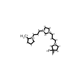 CC1CCCN1CCCN1CCN(CCCN2CCC(F)(F)C2)C1